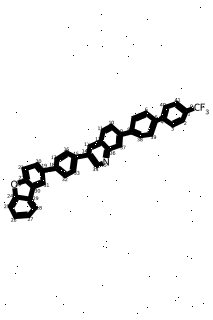 FC(F)(F)c1ccc(-c2ccc(-c3ccc4cc(-c5ccc(-c6ccc7oc8ccccc8c7c6)cc5)cnc4c3)cc2)cc1